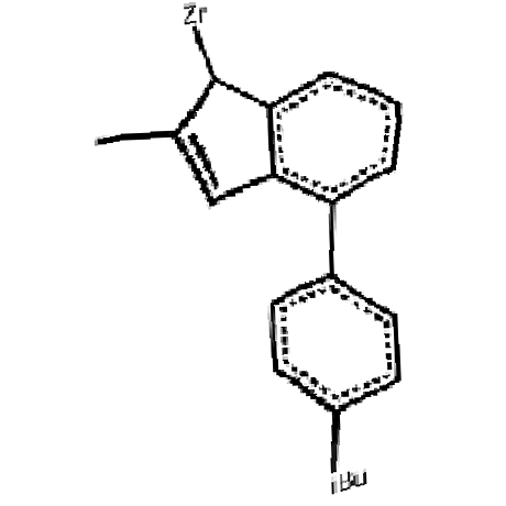 CCC(C)c1ccc(-c2cccc3c2C=C(C)[CH]3[Zr])cc1